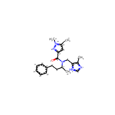 Cc1nc[nH]c1CN(C(=O)c1cc(C)n(C)n1)C(C)CCc1ccccc1